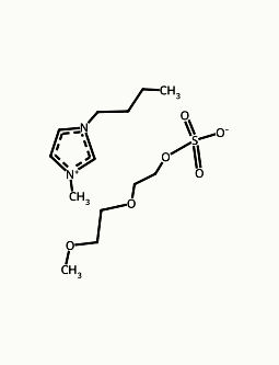 CCCCn1cc[n+](C)c1.COCCOCCOS(=O)(=O)[O-]